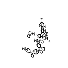 Cn1c(-c2cn(-c3ncc(F)cn3)nc2C(F)(F)F)cnc1C(=O)Nc1ccc(C(=O)N2CCN(C(=O)C3CCNCC3)CC2)c(Cl)c1.O=CO